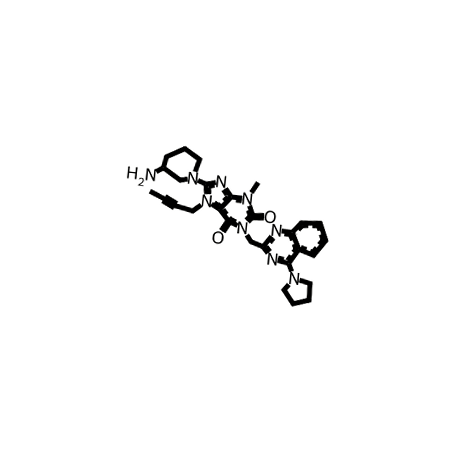 CC#CCn1c(N2CCCC(N)C2)nc2c1c(=O)n(Cc1nc(N3CCCC3)c3ccccc3n1)c(=O)n2C